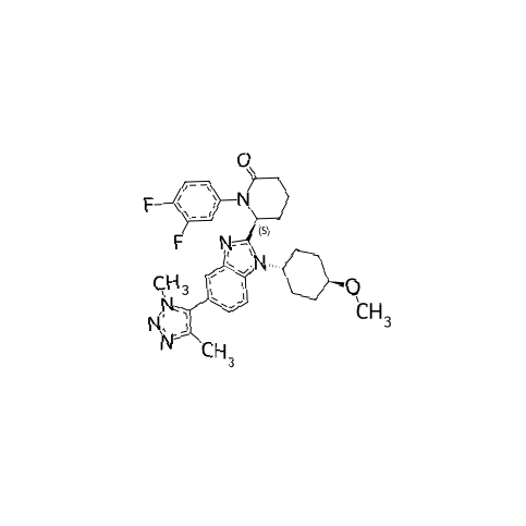 CO[C@H]1CC[C@H](n2c([C@@H]3CCCC(=O)N3c3ccc(F)c(F)c3)nc3cc(-c4c(C)nnn4C)ccc32)CC1